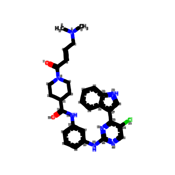 CN(C)CC=CC(=O)N1CCC(C(=O)Nc2cccc(Nc3ncc(Cl)c(-c4c[nH]c5ccccc45)n3)c2)CC1